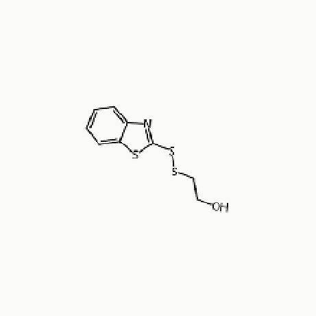 OCCSSc1nc2ccccc2s1